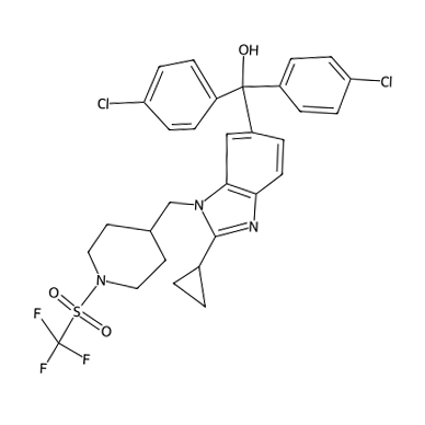 O=S(=O)(N1CCC(Cn2c(C3CC3)nc3ccc(C(O)(c4ccc(Cl)cc4)c4ccc(Cl)cc4)cc32)CC1)C(F)(F)F